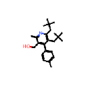 Cc1ccc(-c2c([CH]C(C)(C)C)c(CC(C)(C)C)nc(C)c2CO)cc1